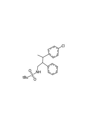 CC(c1ccc(Cl)cc1)C(CNS(=O)(=O)C(C)(C)C)c1ccccc1